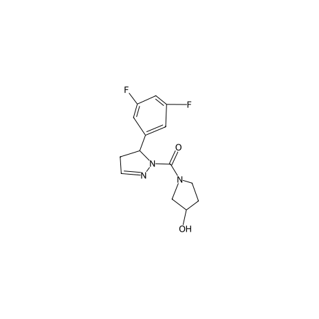 O=C(N1CCC(O)C1)N1N=CCC1c1cc(F)cc(F)c1